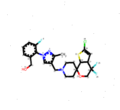 Cc1nn(-c2c(F)cccc2CO)cc1CN1CCC2(CC1)OCC(F)(F)C1C=C(Cl)SC12